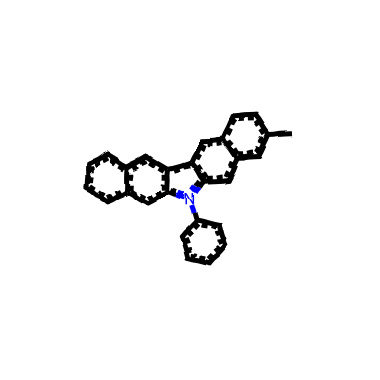 Cc1ccc2cc3c4cc5ccccc5cc4n(-c4ccccc4)c3cc2c1